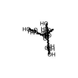 CCCCCC(NC(=O)NCCCO)n1c(=O)n(CCCCCCNC(=O)NCCCO)c(=O)n(CCCCCCNC(=O)NCCCO)c1=O